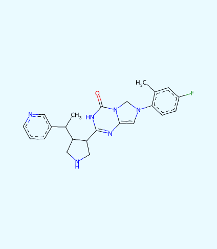 Cc1cc(F)ccc1N1C=C2N=C(C3CNCC3C(C)c3cccnc3)NC(=O)N2C1